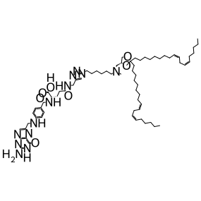 CCCCC/C=C\C/C=C\CCCCCCCCC1(CCCCCCCC/C=C\C/C=C\CCCCC)OC[C@H](CN(C)CCCCCCn2cc(CNC(=O)CC[C@H](NC(=O)c3ccc(NCc4cnc5nc(N)[nH]c(=O)c5n4)cc3)C(=O)O)nn2)O1